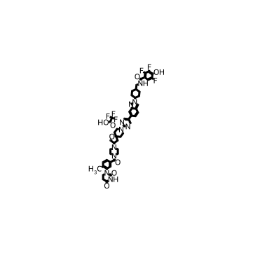 Cc1ccc(C(=O)N2CCN(C3COC4(CCN(c5ncc(-c6ccc7cn(C8CCC(CNC(=O)c9cc(F)c(O)c(F)c9F)CC8)nc7c6)cn5)CC4)C3)CC2)cc1N1CCC(=O)NC1=O.O=C(O)C(F)(F)F